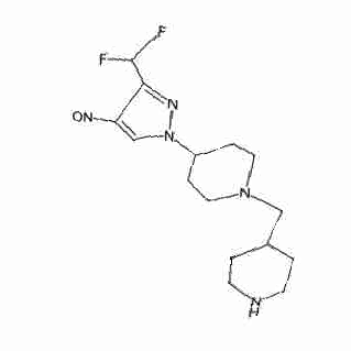 O=Nc1cn(C2CCN(CC3CCNCC3)CC2)nc1C(F)F